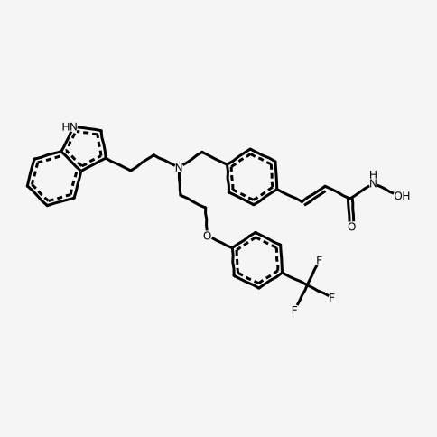 O=C(/C=C/c1ccc(CN(CCOc2ccc(C(F)(F)F)cc2)CCc2c[nH]c3ccccc23)cc1)NO